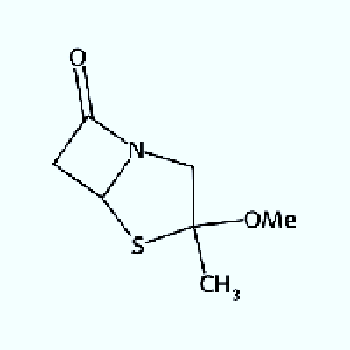 COC1(C)CN2C(=O)CC2S1